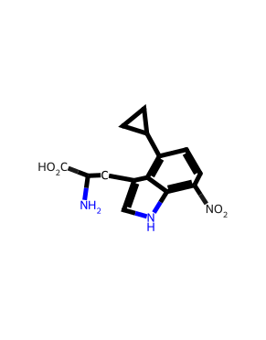 NC(Cc1c[nH]c2c([N+](=O)[O-])ccc(C3CC3)c12)C(=O)O